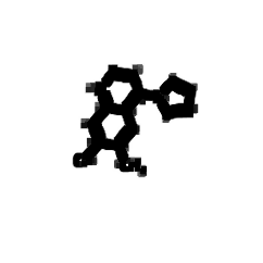 Cc1cc2c(-n3ccnc3)ccnc2cc1Cl